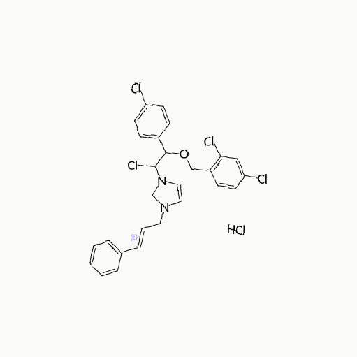 Cl.Clc1ccc(C(OCc2ccc(Cl)cc2Cl)C(Cl)N2C=CN(C/C=C/c3ccccc3)C2)cc1